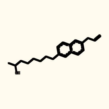 C=CCc1ccc2cc(CCCCCCC(C)O)ccc2c1